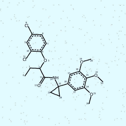 CCC(Oc1ccc(Cl)cc1Cl)C(=O)NC1(c2cc(OC)c(OC)c(OC)c2)CC1